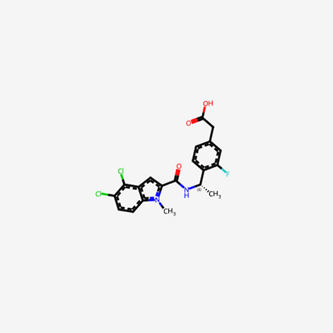 C[C@H](NC(=O)c1cc2c(Cl)c(Cl)ccc2n1C)c1ccc(CC(=O)O)cc1F